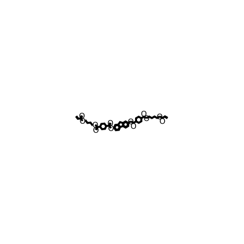 C=CC(=O)OCCCCOC(=O)C1CCC(C(=O)Oc2ccc3c(c2)Cc2cc(OC(=O)C4CCC(C(=O)OCCCCOC(=O)C=C)CC4)ccc2-3)CC1